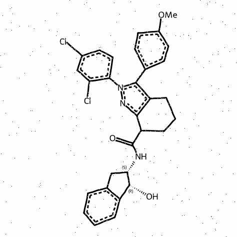 COc1ccc(-c2c3c(nn2-c2ccc(Cl)cc2Cl)C(C(=O)N[C@H]2Cc4ccccc4[C@H]2O)CCC3)cc1